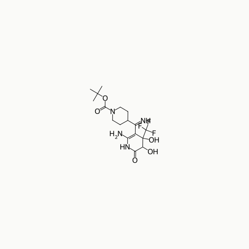 CC(C)(C)OC(=O)N1CCC(C(=N)C2=C(N)NC(=O)C(O)C2(O)C(F)(F)F)CC1